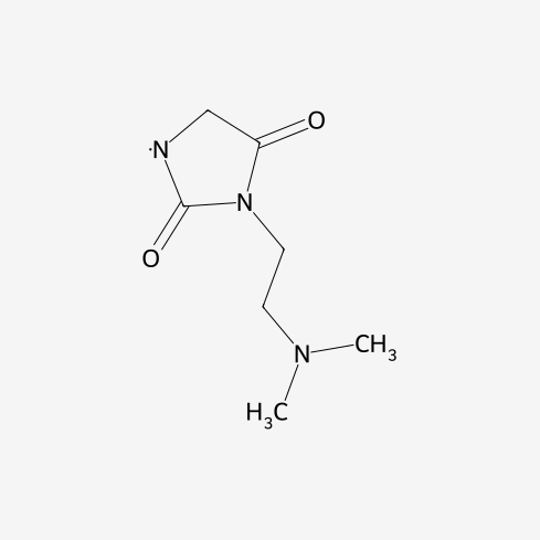 CN(C)CCN1C(=O)C[N]C1=O